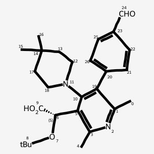 Cc1nc(C)c([C@H](OC(C)(C)C)C(=O)O)c(N2CCC(C)(C)CC2)c1-c1ccc(C=O)cc1